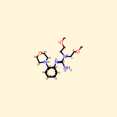 COCCN(CCOC)/C(N)=N/c1ccccc1N1CCOCC1